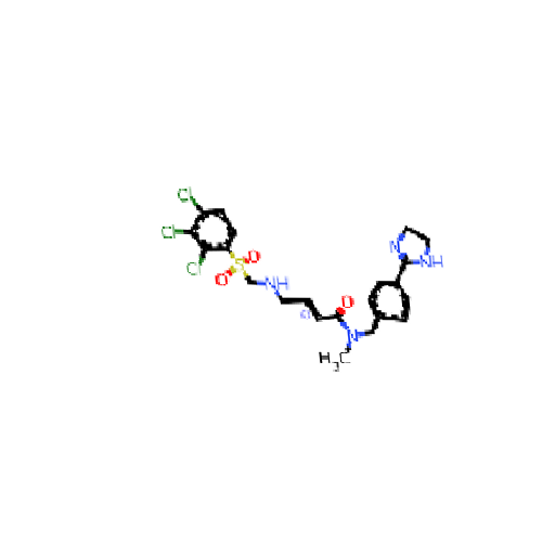 CN(Cc1ccc(C2=NCCN2)cc1)C(=O)/C=C/CNCS(=O)(=O)c1ccc(Cl)c(Cl)c1Cl